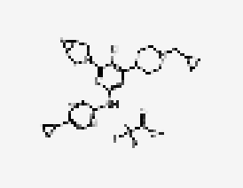 Clc1c(C2CCN(CC3CC3)CC2)cc(Nc2cnc(C3CC3)cn2)nc1N1CC2CC2C1.O=C(O)C(F)(F)F